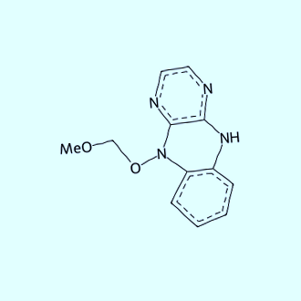 COCON1c2ccccc2Nc2nccnc21